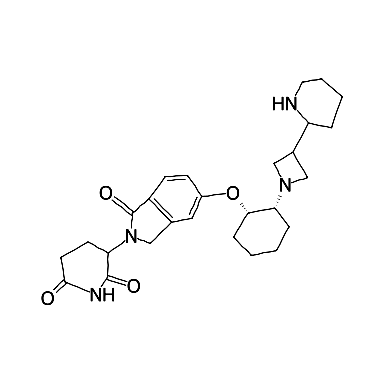 O=C1CCC(N2Cc3cc(O[C@H]4CCCC[C@H]4N4CC(C5CCCCN5)C4)ccc3C2=O)C(=O)N1